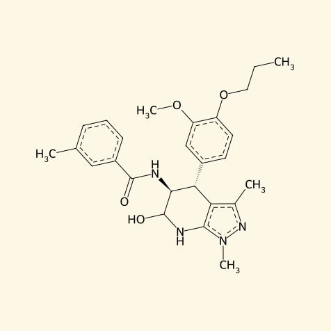 CCCOc1ccc([C@@H]2c3c(C)nn(C)c3NC(O)[C@H]2NC(=O)c2cccc(C)c2)cc1OC